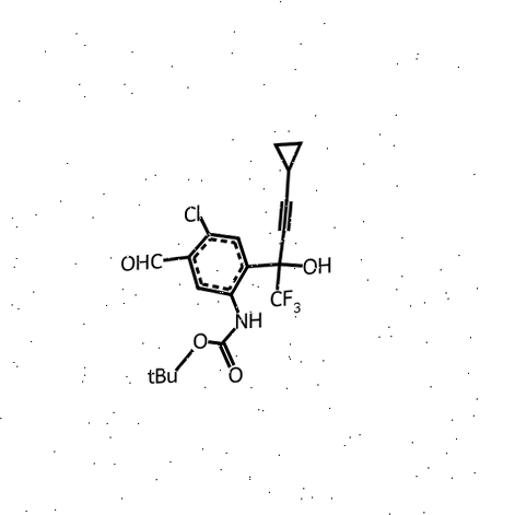 CC(C)(C)OC(=O)Nc1cc(C=O)c(Cl)cc1C(O)(C#CC1CC1)C(F)(F)F